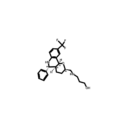 OCCCNC[C@H]1CC[C@@H]2[C@H](O1)c1cc(C(F)(F)F)ccc1N[C@H]2c1ccccc1